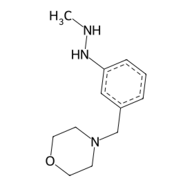 CNNc1cccc(CN2CCOCC2)c1